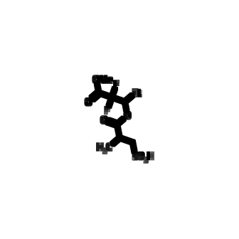 CCC(OC(=O)C(C)CS(=O)(=O)O)C(F)(F)C(=O)OC